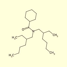 CCCCC(CC)CN(CC(CC)CCCC)C(=O)C1CCCCC1